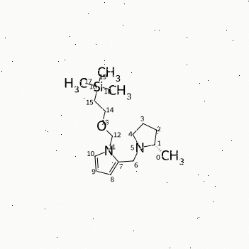 C[C@H]1CCCN1Cc1cccn1COCC[Si](C)(C)C